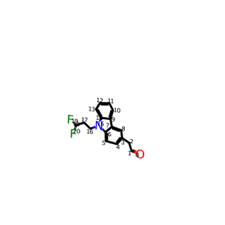 O=CCc1ccc2c(c1)c1ccccc1n2CCC(F)F